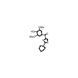 COc1cc(C(=O)c2csc(-c3ccccc3)n2)cc(OC)c1O